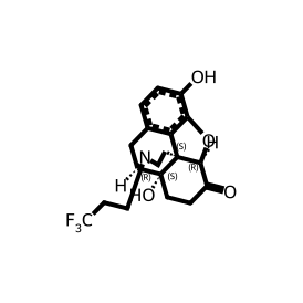 O=C1CC[C@@]2(O)[C@H]3Cc4ccc(O)c5c4[C@@]2(CCN3CCC(F)(F)F)[C@H]1O5